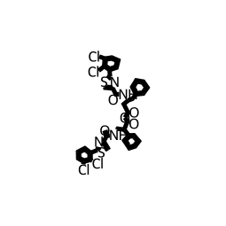 O=C(CC(Cc1ccccc1)NC(=O)c1csc(-c2cccc(Cl)c2Cl)n1)OC(=O)C(CNC(=O)c1csc(-c2cccc(Cl)c2Cl)n1)c1ccccc1